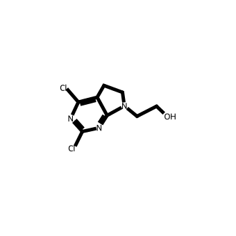 OCCN1CCc2c(Cl)nc(Cl)nc21